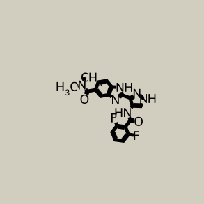 CN(C)C(=O)c1ccc2[nH]c(-c3n[nH]cc3NC(=O)c3c(F)cccc3F)nc2c1